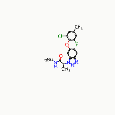 CCCCNC(=O)C(C)n1nnc2ccc(Oc3c(F)cc(C(F)(F)F)cc3Cl)cc21